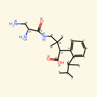 CC(C)C(C)(C)c1ccccc1C(C(=O)O)C(C)(C)CNC(=O)[C@@H](N)CN